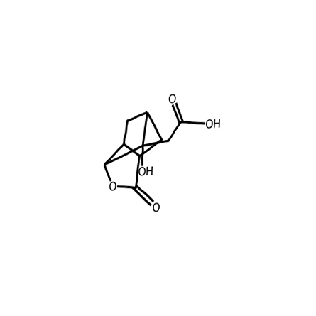 O=C(O)CC1(O)C2CC3C(=O)OC1C3C2